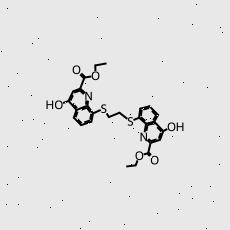 CCOC(=O)c1cc(O)c2cccc(SCCSc3cccc4c(O)cc(C(=O)OCC)nc34)c2n1